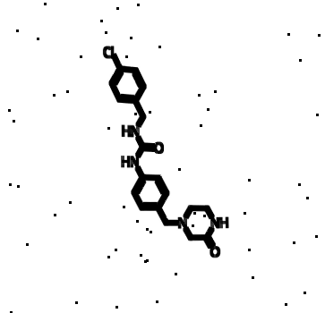 O=C1CN(Cc2ccc(NC(=O)NCc3ccc(Cl)cc3)cc2)CCN1